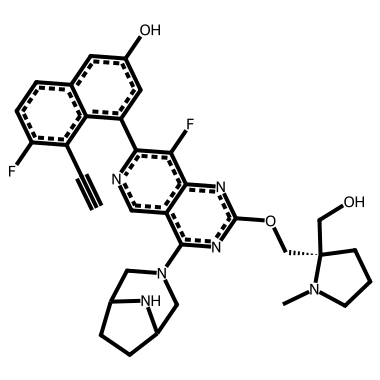 C#Cc1c(F)ccc2cc(O)cc(-c3ncc4c(N5CC6CCC(C5)N6)nc(OC[C@]5(CO)CCCN5C)nc4c3F)c12